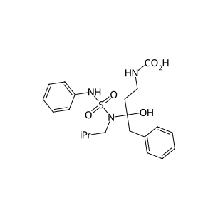 CC(C)CN(C(O)(CCNC(=O)O)Cc1ccccc1)S(=O)(=O)Nc1ccccc1